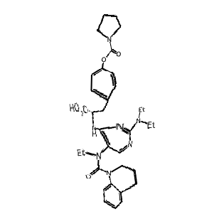 CCN(CC)c1ncc(N(CC)C(=O)N2CCCc3ccccc32)c(N[C@@H](Cc2ccc(OC(=O)N3CCCC3)cc2)C(=O)O)n1